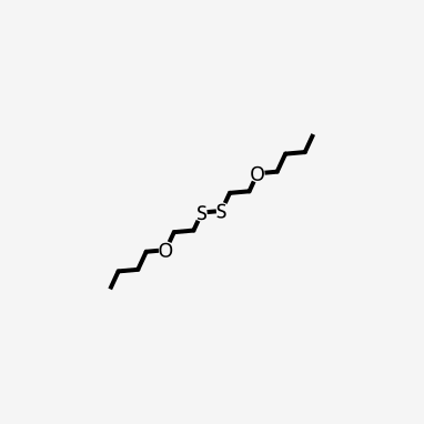 CCCCOCCSSCCOCCCC